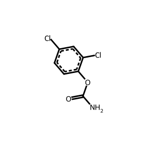 NC(=O)Oc1ccc(Cl)cc1Cl